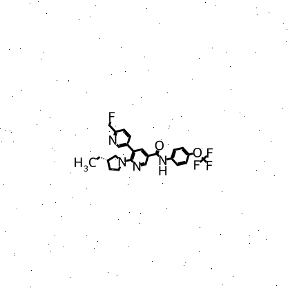 CC[C@H]1CCN(c2ncc(C(=O)Nc3ccc(OC(F)(F)F)cc3)cc2-c2ccc(CF)nc2)C1